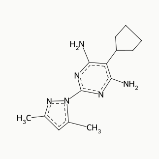 Cc1cc(C)n(-c2nc(N)c(C3CCCC3)c(N)n2)n1